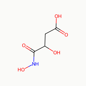 O=C(O)CC(O)C(=O)NO